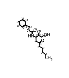 CCCCCC(=O)CC(NC(=O)OCc1ccccc1)C(=O)CO